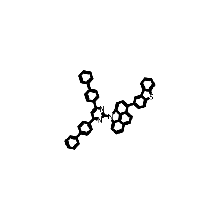 c1ccc(-c2ccc(-c3cc(-c4ccc(-c5ccccc5)cc4)nc(-n4c5cccc6ccc7c(-c8ccc9sc%10ccccc%10c9c8)ccc4c7c65)n3)cc2)cc1